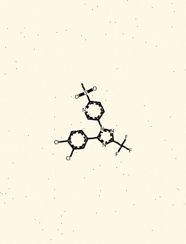 CS(=O)(=O)c1ccc(-n2nc(C(F)(F)F)nc2-c2ccc(Cl)c(Cl)c2)cn1